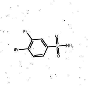 CCc1cc(S(N)(=O)=O)ccc1C(C)C